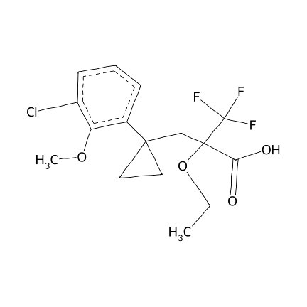 CCOC(CC1(c2cccc(Cl)c2OC)CC1)(C(=O)O)C(F)(F)F